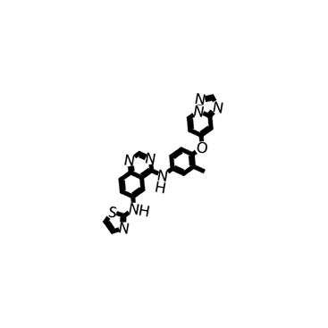 Cc1cc(Nc2ncnc3ccc(Nc4nccs4)cc23)ccc1Oc1ccn2ncnc2c1